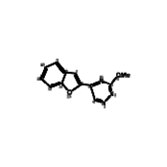 COc1nncc(-c2cc3ccccc3o2)n1